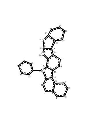 c1ccc(-n2c3ccc4ccccc4c3c3ccc4c(sc5sc6ccccc6c54)c32)cc1